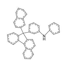 c1ccc(Nc2cccc(C3(c4ccc5ccccc5c4)c4ccccc4-c4c3ccc3ccccc43)c2)cc1